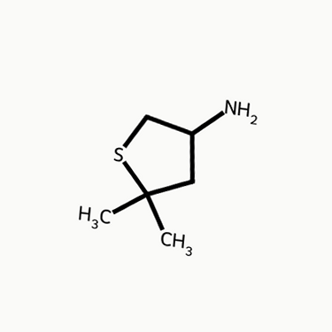 CC1(C)CC(N)CS1